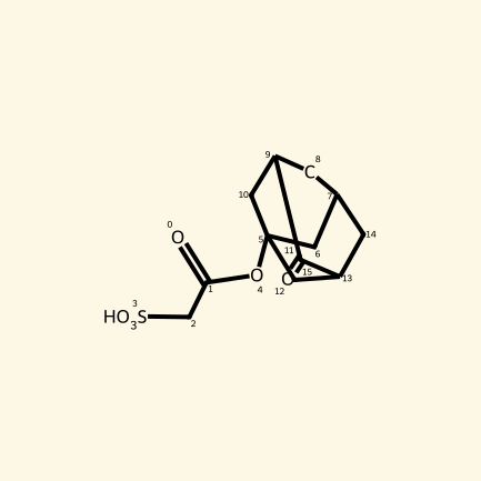 O=C(CS(=O)(=O)O)OC12CC3CC(C1)C(=O)C(C3)C2